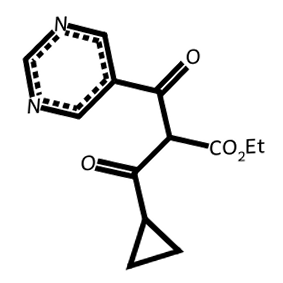 CCOC(=O)C(C(=O)c1cncnc1)C(=O)C1CC1